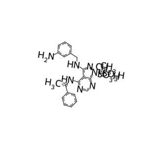 CS(=O)(=O)O.CS(=O)(=O)O.C[C@H](Nc1ncnc2[nH]nc(NCc3cccc(N)c3)c12)c1ccccc1